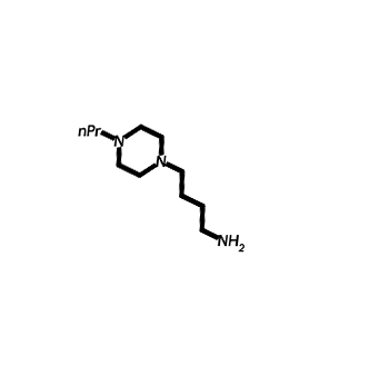 CCCN1CCN(CCCCN)CC1